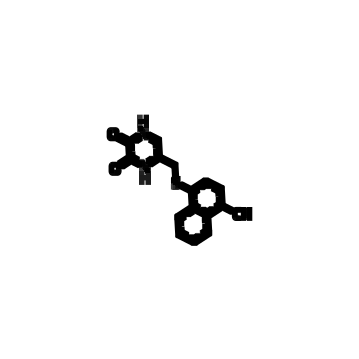 N#Cc1ccc(SCc2c[nH]c(=O)c(=O)[nH]2)c2ccccc12